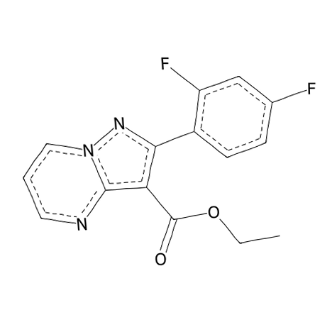 CCOC(=O)c1c(-c2ccc(F)cc2F)nn2cccnc12